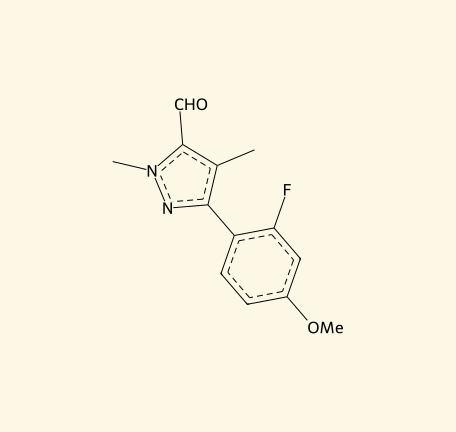 COc1ccc(-c2nn(C)c(C=O)c2C)c(F)c1